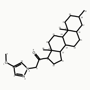 COc1cnn(CC(=O)C2CCC3C4CCC5CC(C)CCC5(C)C4CCC23C)c1